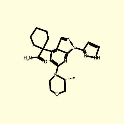 C[C@@H]1COCCN1c1cc(C2(C(N)=O)CCCCC2)c2cnn(-c3cc[nH]n3)c2n1